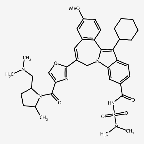 COc1ccc2c(c1)C=C(c1nc(C(=O)N3C(C)CCC3CN(C)C)co1)Cn1c-2c(C2CCCCC2)c2ccc(C(=O)NS(=O)(=O)N(C)C)cc21